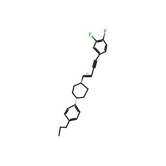 CCCc1ccc([C@H]2CC[C@H](/C=C/C#Cc3ccc(F)c(F)c3)CC2)cc1